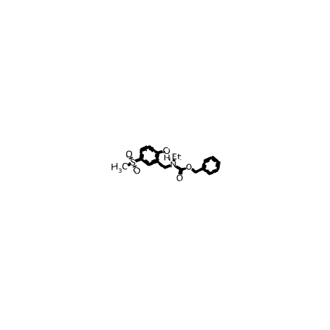 CCN(Cc1cc(S(C)(=O)=O)ccc1O)C(=O)OCc1ccccc1